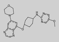 COc1cnc(NC2CCC(Oc3cc(N4CCOCC4)cc4nccnc34)CC2)nc1